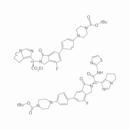 CC(C)(C)OC(=O)N1CCN(c2ccc(-c3cc(F)c4c(c3)C(=O)N([C@@H](C(=O)Nc3nccs3)c3ncn5c3CCC5)C4)cc2)CC1.CCOC(=O)[C@@H](c1ncn2c1CCC2)N1Cc2c(F)cc(-c3ccc(N4CCN(C(=O)OC(C)(C)C)CC4)cc3)cc2C1=O